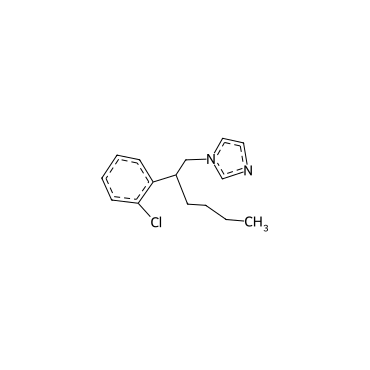 CCCCC(Cn1ccnc1)c1ccccc1Cl